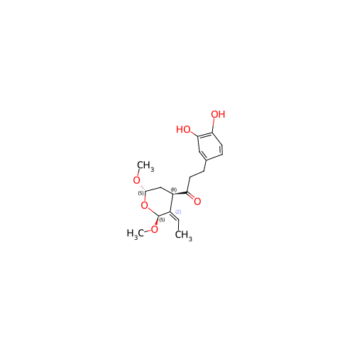 C/C=C1\[C@@H](OC)O[C@H](OC)C[C@H]1C(=O)CCc1ccc(O)c(O)c1